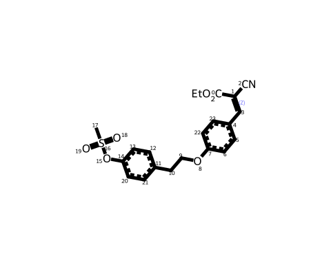 CCOC(=O)/C(C#N)=C\c1ccc(OCCc2ccc(OS(C)(=O)=O)cc2)cc1